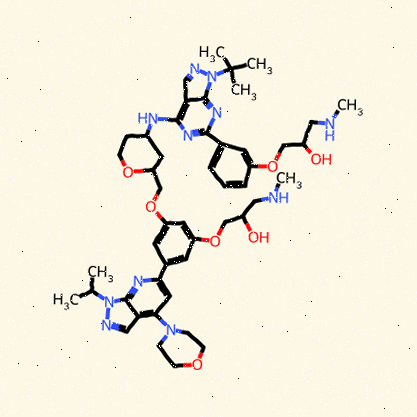 CNCC(O)COc1cc(OCC2CC(Nc3nc(-c4cccc(OCC(O)CNC)c4)nc4c3cnn4C(C)(C)C)CCO2)cc(-c2cc(N3CCOCC3)c3cnn(C(C)C)c3n2)c1